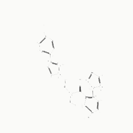 CCN(CCn1ccc(-c2ccc(F)cn2)n1)C(=O)c1cc(Cl)ccc1-n1nccn1